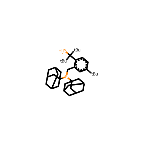 CC(C)(C)c1ccc(C(P)(C(C)(C)C)C(C)(C)C)c(CP(C23CC4CC(CC(C4)C2)C3)C23CC4CC(CC(C4)C2)C3)c1